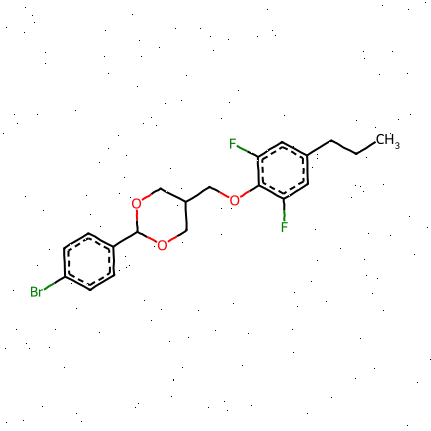 CCCc1cc(F)c(OCC2COC(c3ccc(Br)cc3)OC2)c(F)c1